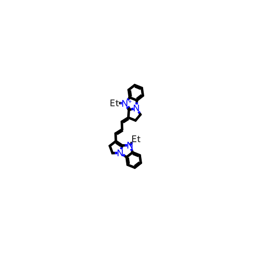 CCN1C2=C(C=CC=C3CCn4c3[n+](CC)c3ccccc34)CCN2c2ccccc21